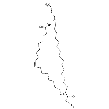 CCCCCCCC/C=C\CCCCCCCC(=O)O.CCCCCCCCCCCCCCCCCCCCCC(=O)OC